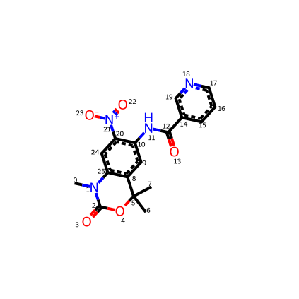 CN1C(=O)OC(C)(C)c2cc(NC(=O)c3cccnc3)c([N+](=O)[O-])cc21